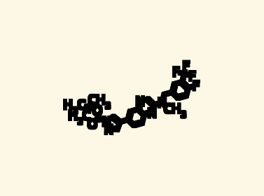 CN(Cc1ccc(F)c(C(F)(F)F)c1)c1cnc2cc(-c3cnn(C(=O)OC(C)(C)C)c3)ccc2n1